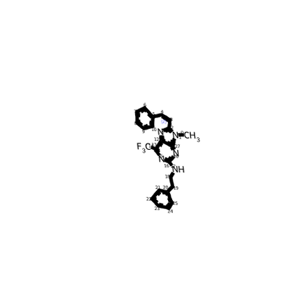 Cn1c(/C=C\c2ccccc2)nc2c(C(F)(F)F)nc(NCCc3ccccc3)nc21